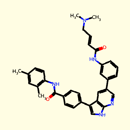 Cc1ccc(NC(=O)c2ccc(-c3c[nH]c4ncc(-c5cccc(NC(=O)C=CCN(C)C)c5)cc34)cc2)c(C)c1